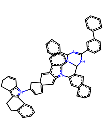 C1=Cc2c(c3c(n2C2=CC=C4C=c5c(c6ccccc6n5-c5cc6ccccc6cc5C5NC(c6cccc(-c7ccccc7)c6)=NC(c6ccccc6)N5)=CC4C2)-c2ccccc2CC3)CC1